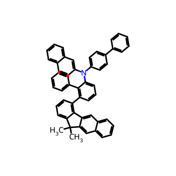 CC1(C)c2cc3ccccc3cc2-c2c(-c3cccc(N(c4ccc(-c5ccccc5)cc4)c4ccc5ccccc5c4)c3-c3ccccc3)cccc21